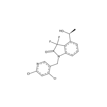 C[C@H](O)c1cccc2c1C(F)(F)C(=O)N2Cc1cnc(Cl)cc1Cl